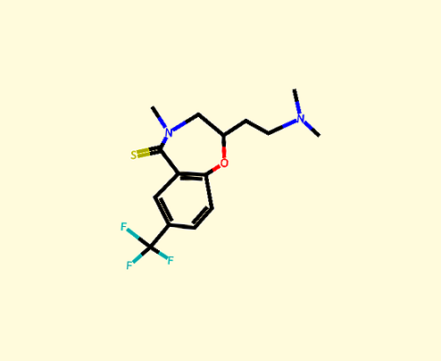 CN(C)CCC1CN(C)C(=S)c2cc(C(F)(F)F)ccc2O1